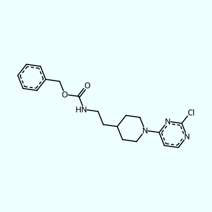 O=C(NCCC1CCN(c2ccnc(Cl)n2)CC1)OCc1ccccc1